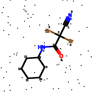 N#CC(Br)(Br)C(=O)NC1CCCCC1